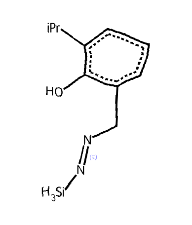 CC(C)c1cccc(C/N=N/[SiH3])c1O